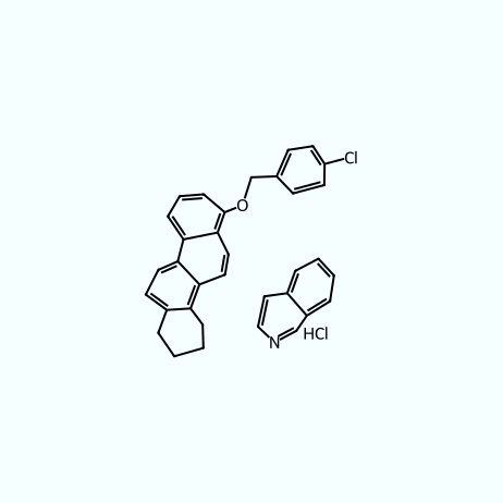 Cl.Clc1ccc(COc2cccc3c2ccc2c4c(ccc23)CCCC4)cc1.c1ccc2cnccc2c1